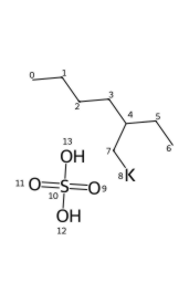 CCCCC(CC)[CH2][K].O=S(=O)(O)O